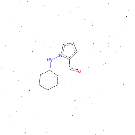 O=Cc1cccn1NC1CCCCC1